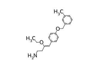 CCOC(=Cc1ccc(OCc2cccc(C)c2)cc1)CCN